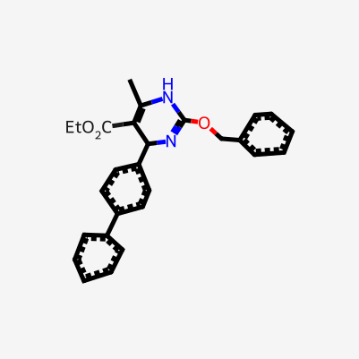 CCOC(=O)C1=C(C)NC(OCc2ccccc2)=NC1c1ccc(-c2ccccc2)cc1